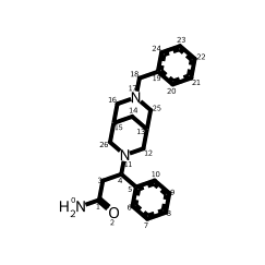 NC(=O)CC(c1ccccc1)N1CC2CC(CN(Cc3ccccc3)C2)C1